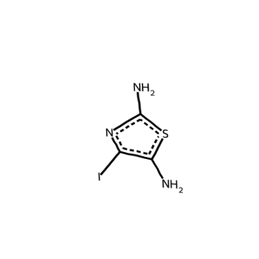 Nc1nc(I)c(N)s1